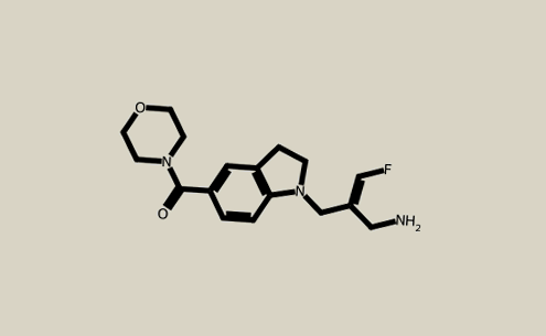 NCC(=CF)CN1CCc2cc(C(=O)N3CCOCC3)ccc21